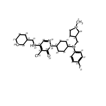 CN1CCC(CN(c2ccc(F)cc2)C2CCC(n3ncc(NCC4CCCOC4)c(Cl)c3=O)CC2)C1